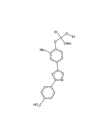 CCOC(CC)(OC)Oc1ccc(-c2cnc(-c3ccc(C(=O)O)cc3)s2)cc1C(C)(C)C